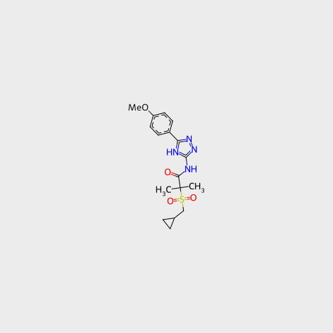 COc1ccc(-c2nnc(NC(=O)C(C)(C)S(=O)(=O)CC3CC3)[nH]2)cc1